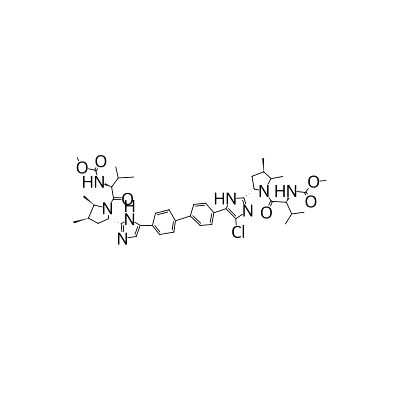 COC(=O)N[C@H](C(=O)N1C(C)[C@H](C)C[C@H]1c1nc(Cl)c(-c2ccc(-c3ccc(-c4cnc([C@@H]5C[C@@H](C)[C@@H](C)N5C(=O)[C@@H](NC(=O)OC)C(C)C)[nH]4)cc3)cc2)[nH]1)C(C)C